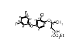 CCOC(=O)NCC(C)Oc1ccc(Oc2cc(F)cc(F)c2)cc1Cl